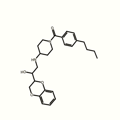 CCCCc1ccc(C(=O)N2CCC(NCC(O)C3COc4ccccc4O3)CC2)cc1